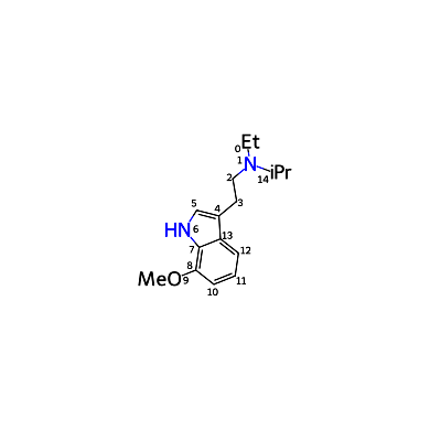 CCN(CCc1c[nH]c2c(OC)cccc12)C(C)C